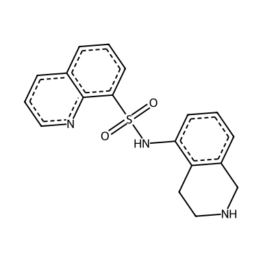 O=S(=O)(Nc1cccc2c1CCNC2)c1cccc2cccnc12